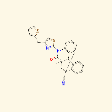 CC12CC3(C#N)c4ccccc4C1c1c(cccc13)N(c1nc(Cc3cccs3)cs1)C2=O